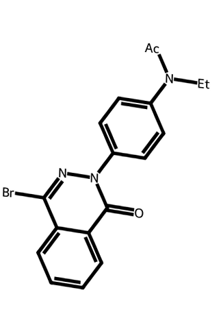 CCN(C(C)=O)c1ccc(-n2nc(Br)c3ccccc3c2=O)cc1